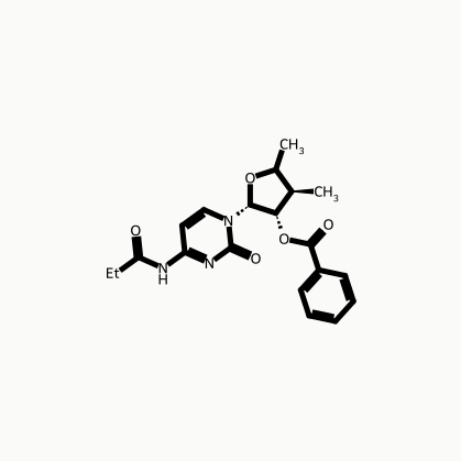 CCC(=O)Nc1ccn([C@@H]2OC(C)[C@@H](C)[C@@H]2OC(=O)c2ccccc2)c(=O)n1